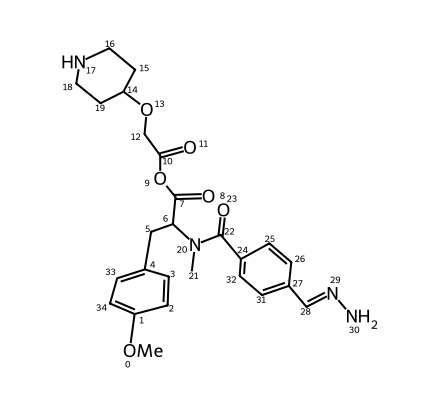 COc1ccc(CC(C(=O)OC(=O)COC2CCNCC2)N(C)C(=O)c2ccc(C=NN)cc2)cc1